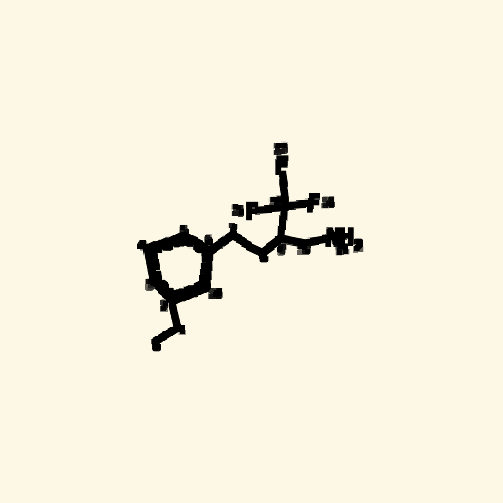 CCc1cccc(CCC(CN)C(F)(F)F)c1